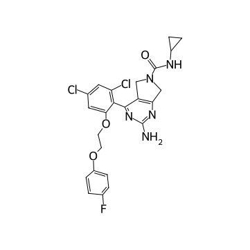 Nc1nc2c(c(-c3c(Cl)cc(Cl)cc3OCCOc3ccc(F)cc3)n1)CN(C(=O)NC1CC1)C2